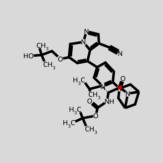 CC(C)C[C@@H](NC(=O)OC(C)(C)C)C(=O)N1C2CC1CN(c1ccc(-c3cc(OCC(C)(C)O)cn4ncc(C#N)c34)cn1)C2